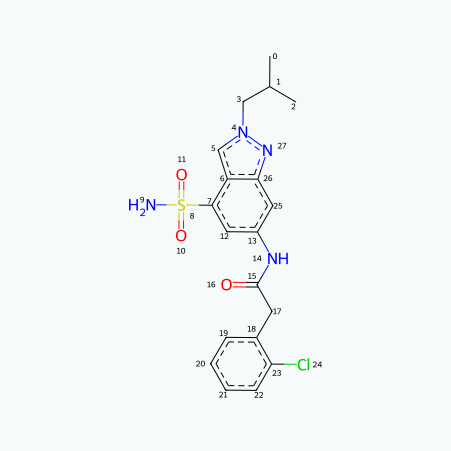 CC(C)Cn1cc2c(S(N)(=O)=O)cc(NC(=O)Cc3ccccc3Cl)cc2n1